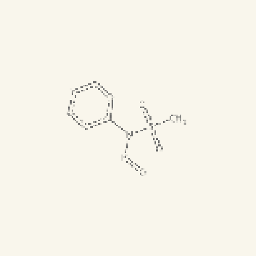 CS(=O)(=O)N(P=O)c1cc[c]cc1